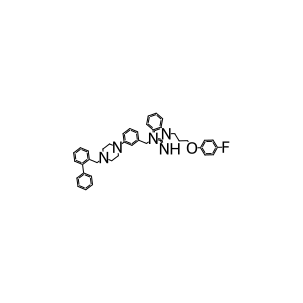 N=c1n(CCCOc2ccc(F)cc2)c2ccccc2n1Cc1cccc(N2CCN(Cc3ccccc3-c3ccccc3)CC2)c1